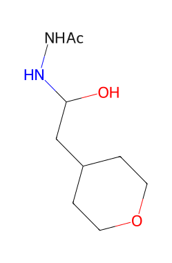 CC(=O)NNC(O)CC1CCOCC1